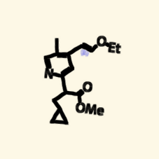 CCO/C=C/c1cc(C(CC2CC2)C(=O)OC)ncc1C